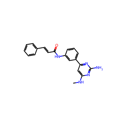 CNc1cc(-c2cccc(NC(=O)C=Cc3ccccc3)c2)nc(N)n1